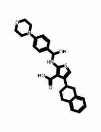 O=C(O)c1c(C2CCc3ccccc3C2)csc1NC(O)c1ccc(N2CCOCC2)cc1